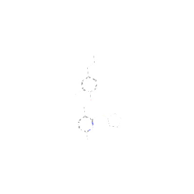 Cc1ccc(COc2ccc(CCC(=O)O)cc2Cl)c(SC2CCCC2)n1